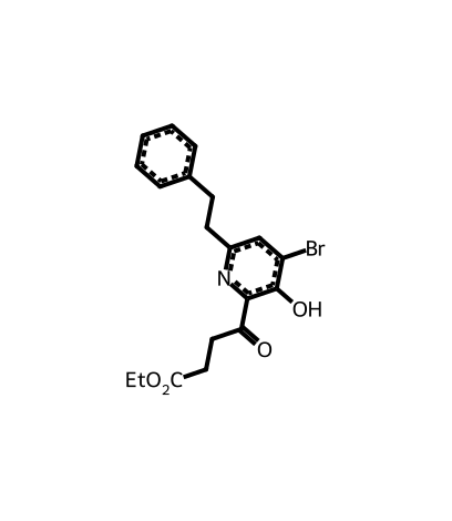 CCOC(=O)CCC(=O)c1nc(CCc2ccccc2)cc(Br)c1O